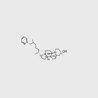 CC(CCCC(C)[C@H]1CC[C@H]2[C@@H]3CC=C4C[C@@H](O)CC[C@]4(C)[C@H]3CC[C@]12C)Cc1ccccn1